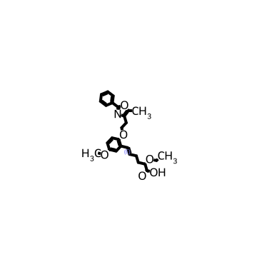 CCOC(CC/C=C/c1cc(OC)ccc1OCCc1nc(-c2ccccc2)oc1C)C(=O)O